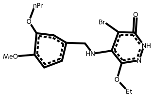 CCCOc1cc(CNc2c(OCC)n[nH]c(=O)c2Br)ccc1OC